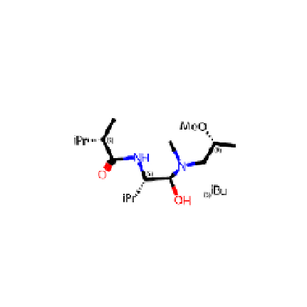 CC[C@H](C)C([C@@H](C)OC)N(C)C(O)[C@@H](NC(=O)[C@@H](C)C(C)C)C(C)C